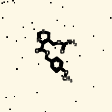 COc1ccc(COC(=O)C2=C(COC(N)=O)CSC=N2)cc1